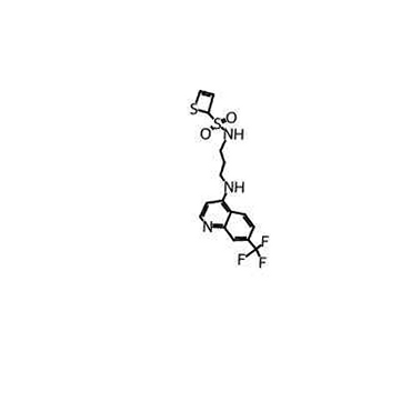 O=S(=O)(NCCCNc1ccnc2cc(C(F)(F)F)ccc12)C1C=CS1